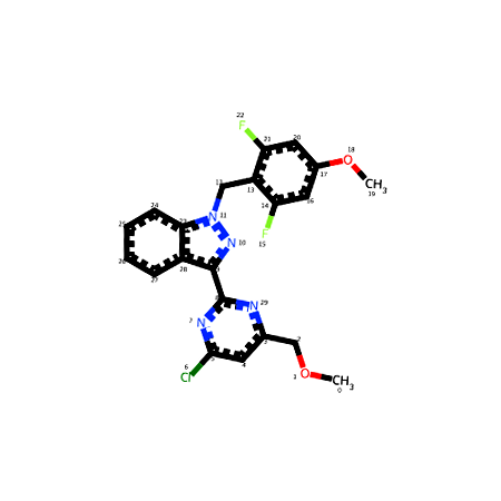 COCc1cc(Cl)nc(-c2nn(Cc3c(F)cc(OC)cc3F)c3ccccc23)n1